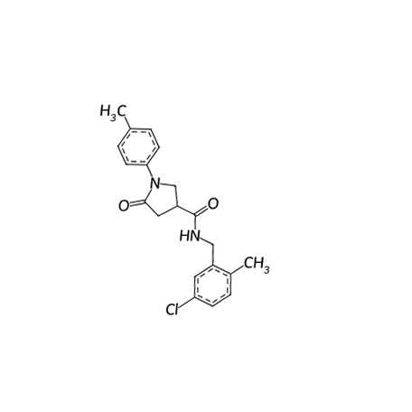 Cc1ccc(N2CC(C(=O)NCc3cc(Cl)ccc3C)CC2=O)cc1